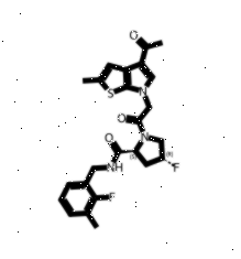 CC(=O)c1cn(CC(=O)N2C[C@H](F)C[C@H]2C(=O)NCc2cccc(C)c2F)c2sc(C)cc12